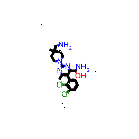 Cc1nc(N2CCC(C)(CN)CC2)nc(C(N)O)c1-c1cccc(Cl)c1Cl